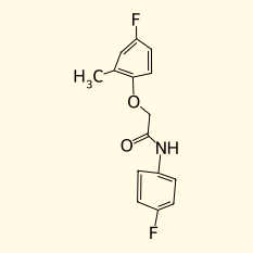 Cc1cc(F)ccc1OCC(=O)Nc1ccc(F)cc1